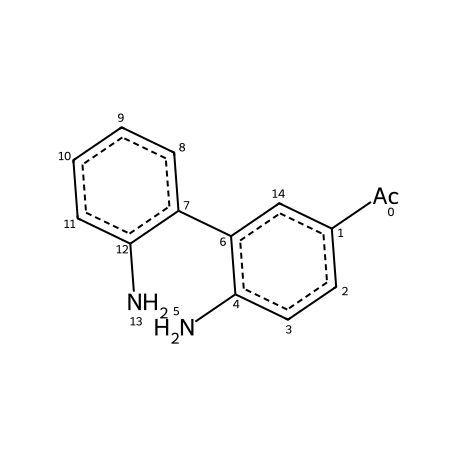 CC(=O)c1ccc(N)c(-c2ccccc2N)c1